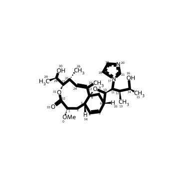 CO[C@H]1C[C@H]2C=C[C@@H]3C[C@]2(O[C@H]3C([C@H](C)[C@H](C)O)n2ccnc2)/C(C)=C/[C@@H](C)[C@@H]([C@@H](C)O)OC1=O